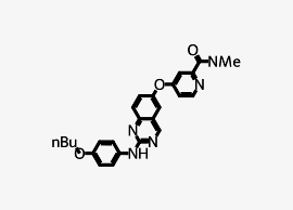 CCCCOc1ccc(Nc2ncc3cc(Oc4ccnc(C(=O)NC)c4)ccc3n2)cc1